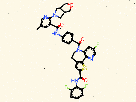 Cc1cnc(N2CC3COCC3C2)c(C(=O)Nc2ccc(C(=O)N3CCc4cc(C(=O)Nc5c(F)cccc5F)sc4-c4ncc(F)cc43)cc2)c1